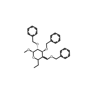 CCC1O[C@@H](OC)[C@H](OCc2ccccc2)[C@@H](OCc2ccccc2)/C1=C\OCc1ccccc1